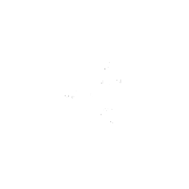 CCCNCCN.COC([SiH3])OC